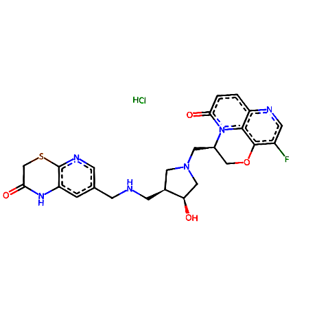 Cl.O=C1CSc2ncc(CNC[C@H]3CN(C[C@@H]4COc5c(F)cnc6ccc(=O)n4c56)C[C@H]3O)cc2N1